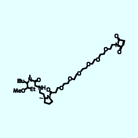 CCC(C)C(C(CC)OC)N(C)C(=O)CNCC[C@]1(C)CCCN1C(=O)CCOCCOCCOCCOCCOCCOCCN1C(=O)C=CC1=O